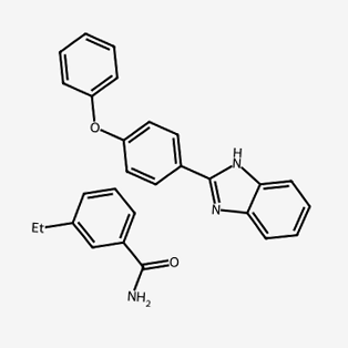 CCc1cccc(C(N)=O)c1.c1ccc(Oc2ccc(-c3nc4ccccc4[nH]3)cc2)cc1